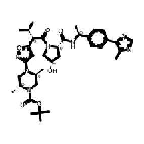 Cc1ncsc1-c1ccc([C@H](C)NC(=O)[C@@H]2C[C@@H](O)CN2C(=O)[C@H](c2cc(N3C[C@@H](C)N(C(=O)OC(C)(C)C)C[C@@H]3C)no2)C(C)C)cc1